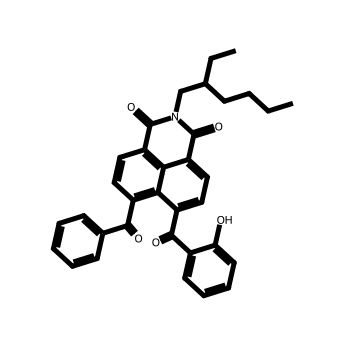 CCCCC(CC)CN1C(=O)c2ccc(C(=O)c3ccccc3)c3c(C(=O)c4ccccc4O)ccc(c23)C1=O